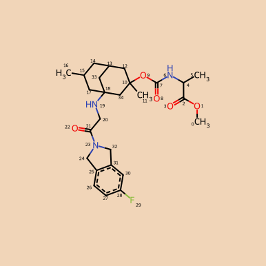 COC(=O)C(C)NC(=O)OC1(C)CC2CC(C)CC(NCC(=O)N3Cc4ccc(F)cc4C3)(C2)C1